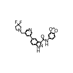 O=C(Nc1ccc2c(c1)OCO2)c1n[nH]c2ccc(-c3cncc(CN4CCC(F)(F)C4)c3)cc12